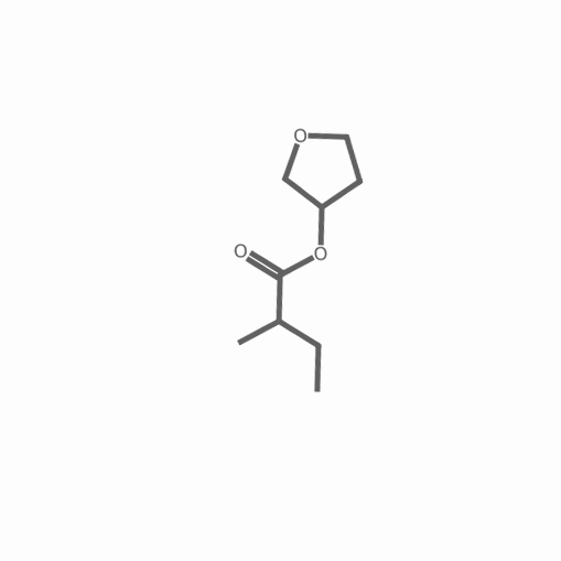 CCC(C)C(=O)OC1CCOC1